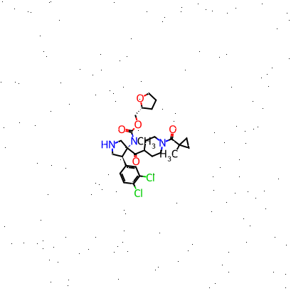 CN(C(=O)OC[C@H]1CCCO1)[C@@]1(C(=O)C2CCN(C(=O)C3(C)CC3)CC2)CNC[C@@H]1c1ccc(Cl)c(Cl)c1